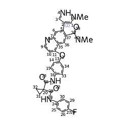 CN/C=C(\C=N)c1cc2nccc(Oc3ccc(NC(=O)C4(C(=O)Nc5ccc(F)cc5)CC4)cc3)c2cc1C(=O)NC